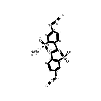 O=S(=O)([O-])c1cc(N=C=S)ccc1/C=C/c1ccc(N=C=S)cc1S(=O)(=O)[O-].[Na+].[Na+]